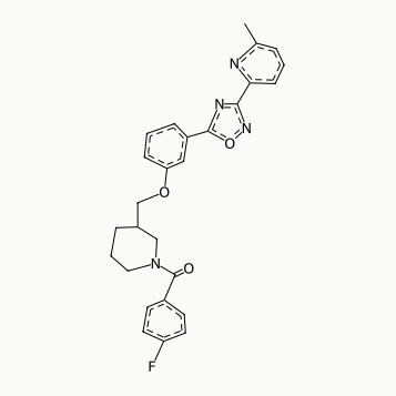 Cc1cccc(-c2noc(-c3cccc(OCC4CCCN(C(=O)c5ccc(F)cc5)C4)c3)n2)n1